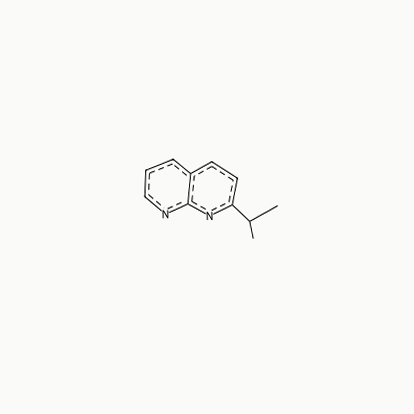 CC(C)c1ccc2cccnc2n1